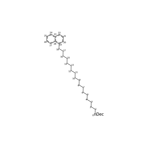 CCCCCCCCCCCCCCCCCCCCCCCCCCCCc1cccc2ccccc12